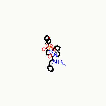 N[C@@H](Cc1ccccc1)C(=O)N1CCC[C@H]1C(=O)N1CCC[C@]1(C(=O)OCc1ccccc1)P(=O)(Cc1ccccc1)Cc1ccccc1